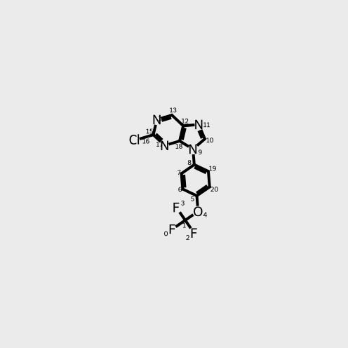 FC(F)(F)Oc1ccc(-n2cnc3cnc(Cl)nc32)cc1